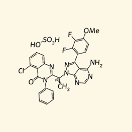 COc1ccc(-c2nn([C@@H](C)c3nc4cccc(Cl)c4c(=O)n3-c3ccccc3)c3ncnc(N)c23)c(F)c1F.O=S(=O)(O)O